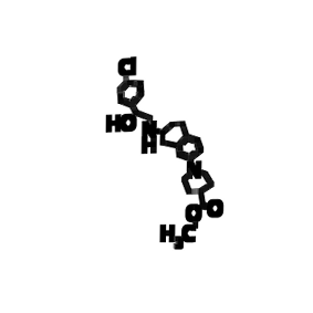 CCOC(=O)C1CCN(c2ccc3c(c2)C[C@@H](NC[C@H](O)c2ccc(Cl)cc2)CC3)CC1